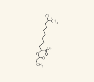 CCC(=O)OC(CCCCCCCC(C)C)C(=O)O